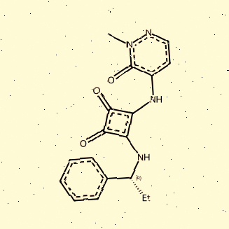 CC[C@@H](Nc1c(Nc2ccnn(C)c2=O)c(=O)c1=O)c1ccccc1